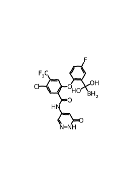 BC(O)(O)c1cc(F)ccc1Oc1cc(C(F)(F)F)c(Cl)cc1C(=O)Nc1cn[nH]c(=O)c1